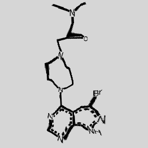 CN(C)C(=O)CN1CCN(c2ncnc3[nH]nc(Br)c23)CC1